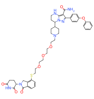 NC(=O)c1c(-c2ccc(Oc3ccccc3)cc2)nn2c1NCCC2C1CCN(CCOCCOCCOCCSc2cccc3c2CN(C2CCC(=O)NC2=O)C3=O)CC1